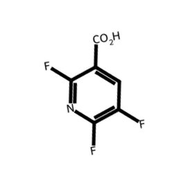 O=C(O)c1cc(F)c(F)nc1F